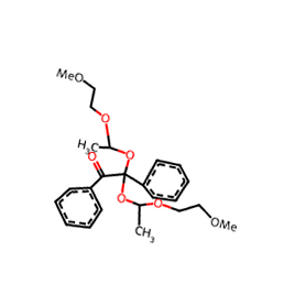 COCCOC(C)OC(OC(C)OCCOC)(C(=O)c1ccccc1)c1ccccc1